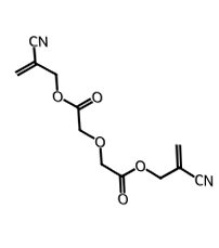 C=C(C#N)COC(=O)COCC(=O)OCC(=C)C#N